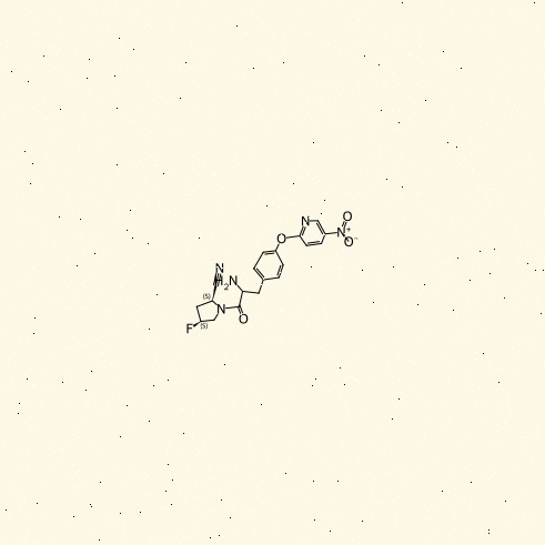 N#C[C@@H]1C[C@H](F)CN1C(=O)C(N)Cc1ccc(Oc2ccc([N+](=O)[O-])cn2)cc1